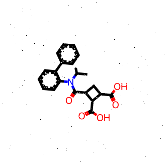 CC(C)N(C(=O)C1CC(C(=O)O)C1C(=O)O)c1ccccc1-c1ccccc1